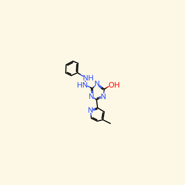 Cc1ccnc(-c2nc(O)nc(NNc3ccccc3)n2)c1